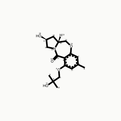 Cc1cc2c(c(OCC(C)(C)O)c1)C(=O)N1C[C@@H](O)C[C@@H]1CO2